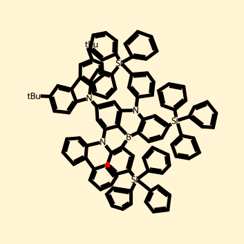 CC(C)(C)c1ccc2c(c1)c1cc(C(C)(C)C)ccc1n2-c1cc2c3c(c1)N(c1ccccc1-c1ccccc1)c1ccc([Si](c4ccccc4)(c4ccccc4)c4ccccc4)cc1B3c1ccc([Si](c3ccccc3)(c3ccccc3)c3ccccc3)cc1N2c1cccc([Si](c2ccccc2)(c2ccccc2)c2ccccc2)c1